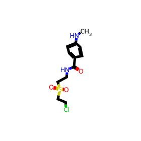 CNc1ccc(C(=O)NCCS(=O)(=O)CCCl)cc1